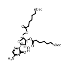 CCCCCCCCCCCCCCCC(=O)OC[C@H]1O[C@@H](n2ncc(N)nc2=O)[C@@H](O)[C@@H]1OC(=O)CCCCCCCCCCCCCCC